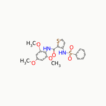 COc1cc(OC)c(NC(=O)c2sccc2NS(=O)(=O)c2ccccc2)c(OC)c1